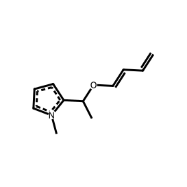 C=CC=COC(C)c1cccn1C